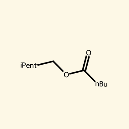 CCCCC(=O)OCC(C)CCC